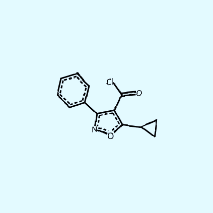 O=C(Cl)c1c(-c2ccccc2)noc1C1CC1